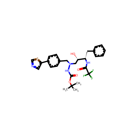 CC(C)(C)OC(=O)NN(Cc1ccc(-c2cncs2)cc1)C[C@H](O)[C@H](Cc1ccccc1)NC(=O)C(F)(F)F